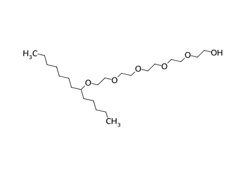 CCCCCCCC(CCCCC)OCCOCCOCCOCCOCCO